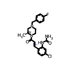 C[C@H]1CN(Cc2ccc(F)cc2)CCN1C(=O)/C=C/c1ccc(Cl)cc1NC(N)=O